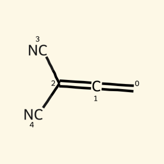 C=C=C(C#N)C#N